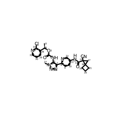 C[C@@H](OC(=O)Nc1c(-c2ccc(NC(=O)C3(C#N)CC34CCC4)cn2)nnn1C)c1cccnc1Cl